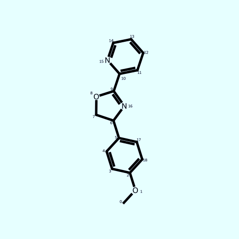 COc1ccc(C2COC(c3ccccn3)=N2)cc1